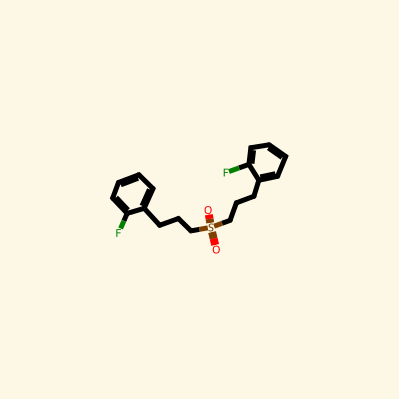 O=S(=O)(CCCc1ccccc1F)CCCc1ccccc1F